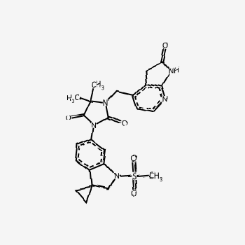 CC1(C)C(=O)N(c2ccc3c(c2)N(S(C)(=O)=O)CC32CC2)C(=O)N1Cc1ccnc2c1CC(=O)N2